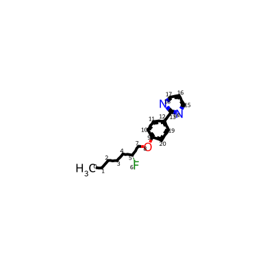 CCCCC[C@@H](F)COc1ccc(-c2ncccn2)cc1